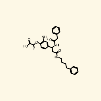 Nc1cc(C(CC(=O)NCCCCc2ccccc2)NC(=O)Cc2ccccc2)ccc1OC(F)C(=O)O